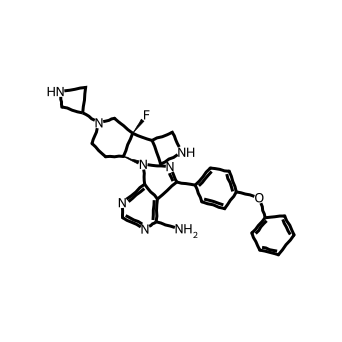 Nc1ncnc2c1c(-c1ccc(Oc3ccccc3)cc1)nn2[C@H]1CCN(C2CNC2)C[C@]1(F)C1CNC1